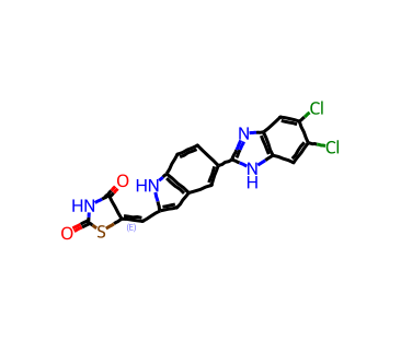 O=C1NC(=O)/C(=C\c2cc3cc(-c4nc5cc(Cl)c(Cl)cc5[nH]4)ccc3[nH]2)S1